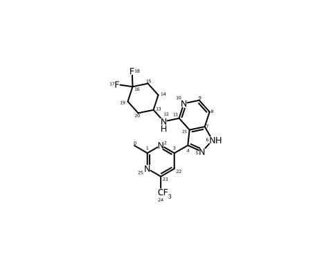 Cc1nc(-c2n[nH]c3ccnc(NC4CCC(F)(F)CC4)c23)cc(C(F)(F)F)n1